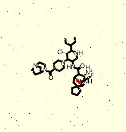 CCC(CC)C1NCC(NC(=O)C2C(N)NC3CC(F)CNC2CC32CCCC2)C(N2CCC(C(=O)N3CCN4CCC3C4)CC2)[C@@H]1Cl